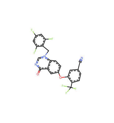 N#Cc1ccc(C(F)(F)F)c(Oc2ccc3c(c2)c(=O)ncn3Cc2c(F)cc(F)cc2F)c1